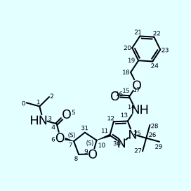 CC(C)NC(=O)O[C@@H]1CO[C@H](c2cc(NC(=O)OCc3ccccc3)n(C(C)(C)C)n2)C1